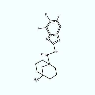 CC12CCCC(C(=O)Nc3nc4c(F)c(F)c(F)cc4s3)(CCC1)C2